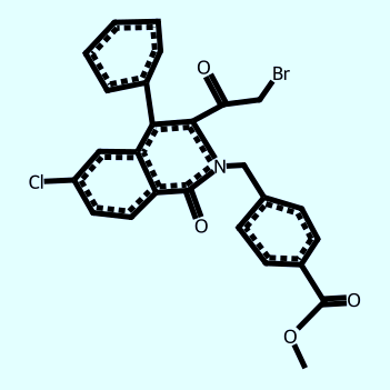 COC(=O)c1ccc(Cn2c(C(=O)CBr)c(-c3ccccc3)c3cc(Cl)ccc3c2=O)cc1